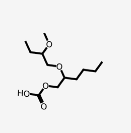 CCCCC(COC(=O)O)OCC(CC)OC